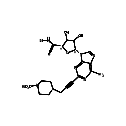 CCNC(=O)[C@H]1O[C@@H](n2cnc3c(N)nc(C#CCN4CCN(C(=O)OCC)CC4)nc32)C(O)C1O